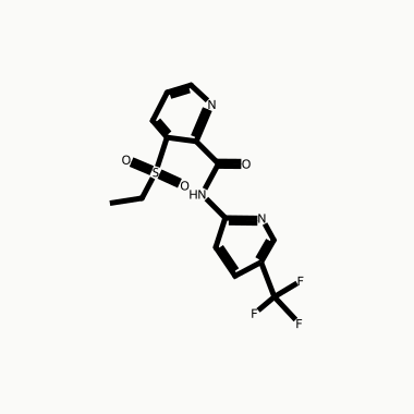 CCS(=O)(=O)c1cccnc1C(=O)Nc1ccc(C(F)(F)F)cn1